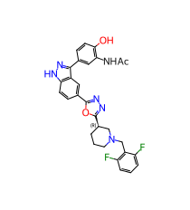 CC(=O)Nc1cc(-c2n[nH]c3ccc(-c4nnc([C@@H]5CCCN(Cc6c(F)cccc6F)C5)o4)cc23)ccc1O